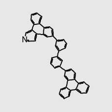 c1cc(-c2cccc(-c3ccc4c5ccccc5c5cnccc5c4c3)c2)cc(-c2ccc3c4ccccc4c4ccccc4c3c2)c1